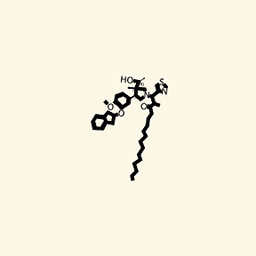 CCCCCCCCCCCCCC(=O)C(C)C(c1cscn1)N1C[C@@H](c2ccc(OC)c(OC3Cc4ccccc4C3)c2)[C@](C)([C@@H](C)O)C1